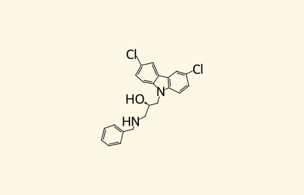 O[C@H](CNCc1ccccc1)Cn1c2ccc(Cl)cc2c2cc(Cl)ccc21